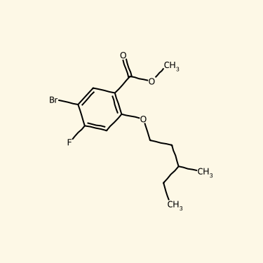 CCC(C)CCOc1cc(F)c(Br)cc1C(=O)OC